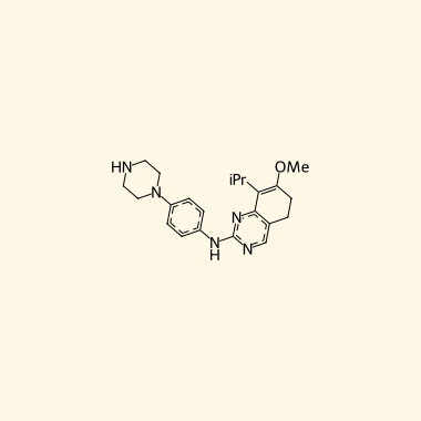 COC1=C(C(C)C)c2nc(Nc3ccc(N4CCNCC4)cc3)ncc2CC1